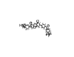 O=C(c1ccc(-c2cc(Cl)c(CC3CCN(C4CCc5n[nH]cc5C4)C3=O)c(Cl)c2)cc1)N1CCC(C(F)(F)F)CC1